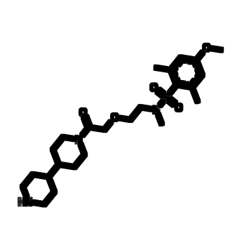 COc1cc(C)c(S(=O)(=O)N(C)CCOCC(=O)N2CCC(C3CCNCC3)CC2)c(C)c1